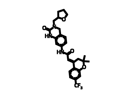 CC1(C)C/C(=C\C(=O)Nc2ccc3c(c2)NC(=O)N(CC2CCCO2)C3)c2ccc(C(F)(F)F)cc2O1